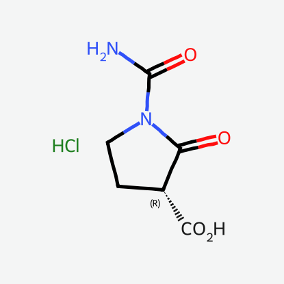 Cl.NC(=O)N1CC[C@@H](C(=O)O)C1=O